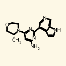 C[C@@H]1COCCN1c1cc(N)nc(-c2cncc3[nH]ccc23)n1